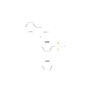 CC(C(=O)Nc1ccc(Oc2cccc(Cl)c2)c(S(N)(=O)=O)c1)c1c(Cl)cccc1Cl